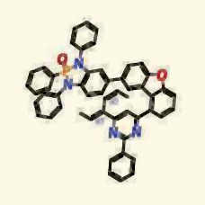 C/C=C\C(=C/C)c1cc(-c2cccc3oc4ccc(-c5ccc6c(c5)N(c5ccccc5)P(=O)(c5ccccc5)N6c5ccccc5)cc4c23)nc(-c2ccccc2)n1